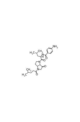 CC(C)CCC(=O)N1CC(=O)C2C1CCN2C(=O)C(CC(C)C)NC(=O)c1ccc(N)cc1